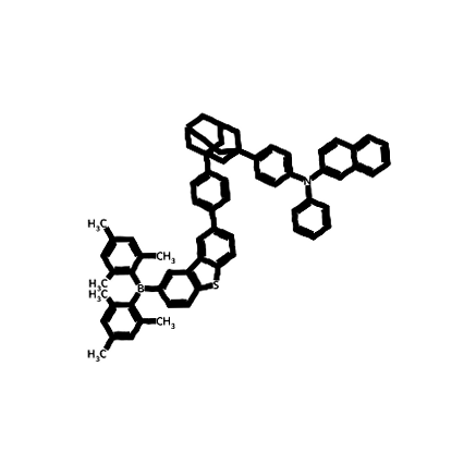 Cc1cc(C)c(B(c2ccc3sc4ccc(-c5ccc(C67CC8CC(C6)CC(c6ccc(N(c9ccccc9)c9ccc%10ccccc%10c9)cc6)(C8)C7)cc5)cc4c3c2)c2c(C)cc(C)cc2C)c(C)c1